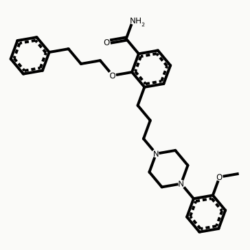 COc1ccccc1N1CCN(CCCc2cccc(C(N)=O)c2OCCCc2ccccc2)CC1